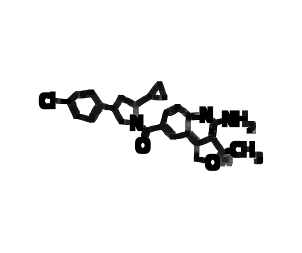 C[C@H]1OCc2c1c(N)nc1ccc(C(=O)N3CC(c4ccc(Cl)cc4)CC3C3CC3)cc21